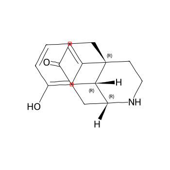 O=C1CC[C@]23CCN[C@H](Cc4c(O)cccc42)[C@@H]3C1